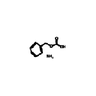 N.O=C(O)OCc1ccccc1